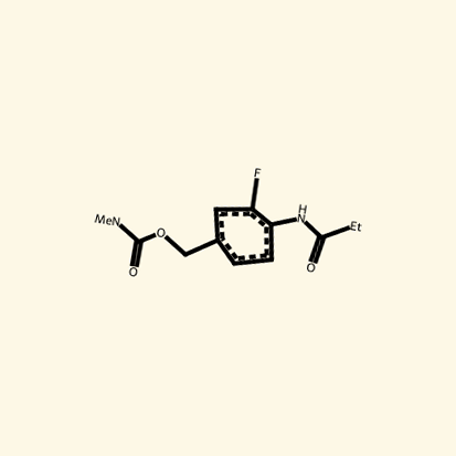 CCC(=O)Nc1ccc(COC(=O)NC)cc1F